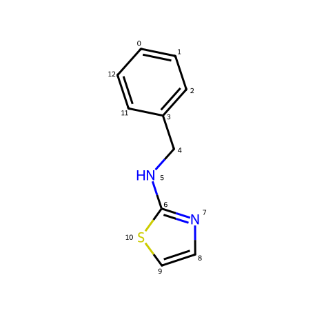 c1ccc(CNc2nccs2)cc1